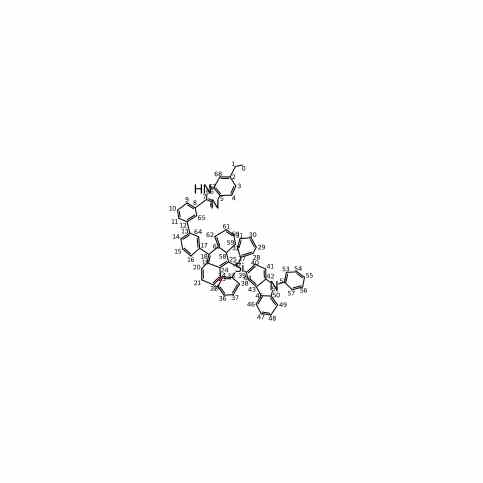 CCc1ccc2nc(-c3cccc(-c4cccc(C5=c6ccccc6=C([Si](c6ccccc6)(c6ccccc6)c6ccc7c(c6)c6ccccc6n7-c6ccccc6)C6CC=CC=C56)c4)c3)[nH]c2c1